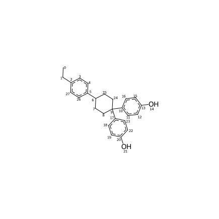 CCc1ccc(C2CCC(c3ccc(O)cc3)(c3ccc(O)cc3)CC2)cc1